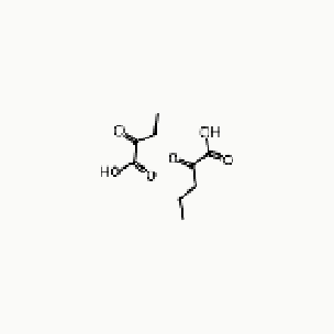 CCC(=O)C(=O)O.CCCC(=O)C(=O)O